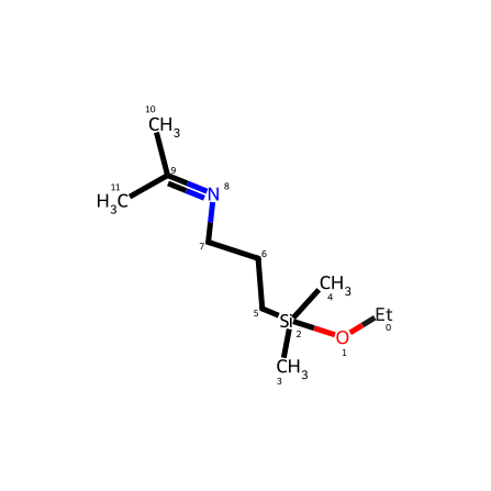 CCO[Si](C)(C)CCCN=C(C)C